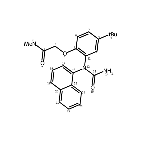 CNC(=O)COc1ccc(C(C)(C)C)cc1N(C(N)=O)c1cccc2ccccc12